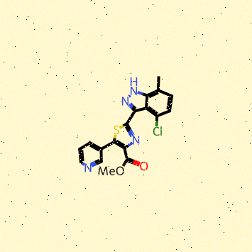 COC(=O)c1nc(-c2n[nH]c3c(C)ccc(Cl)c23)sc1-c1cccnc1